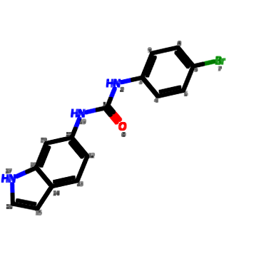 O=C(Nc1ccc(Br)cc1)Nc1ccc2cc[nH]c2c1